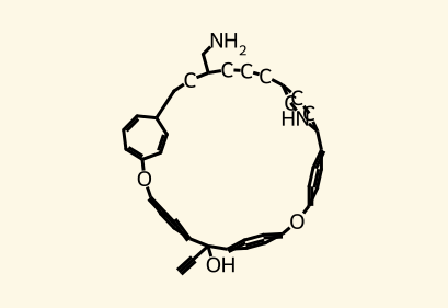 C#CC1(O)c2ccc(cc2)OC2=CC=CC(C=C2)CCC(CN)CCCC2CCC(NC2)c2ccc(cc2)Oc2ccc1cc2